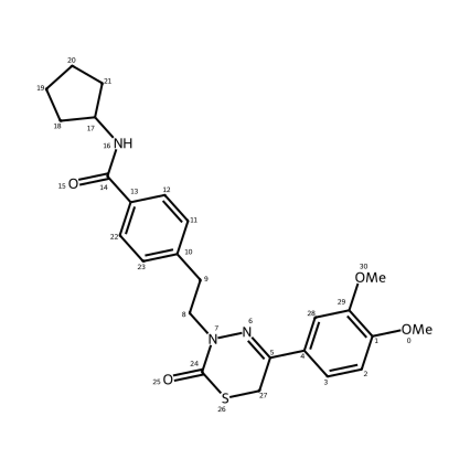 COc1ccc(C2=NN(CCc3ccc(C(=O)NC4CCCC4)cc3)C(=O)SC2)cc1OC